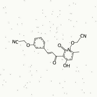 Cc1cc(O)c(C(=O)C=Cc2cccc(OCC#N)c2)c(=O)n1OCC#N